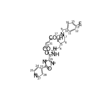 O=C(NCCC1CCN(Cc2ccc(F)cc2)CC1)c1noc(-c2ccncc2)n1.O=C(O)C=CC(=O)O